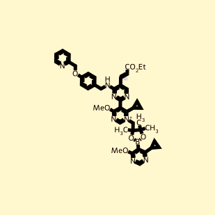 CCOC(=O)/C=C/c1cnc(-c2c(OC)nc[n+](CC3(C)OB(c4c(OC)ncnc4C4CC4)OC3(C)C)c2C2CC2)nc1NCc1ccc(OCc2ccccn2)cc1